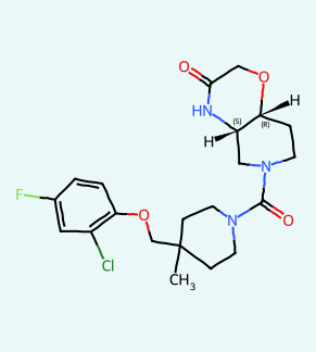 CC1(COc2ccc(F)cc2Cl)CCN(C(=O)N2CC[C@H]3OCC(=O)N[C@H]3C2)CC1